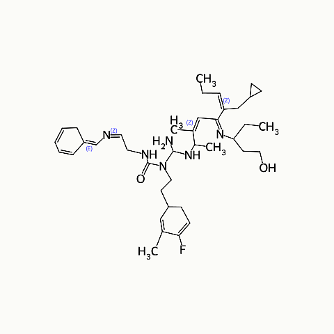 CC/C=C(/CC1CC1)C(/C=C(/C)C(C)NC(N)N(CCC1C=C(C)C(F)=CC1)C(=O)NC/C=N\C=C1\C=CC=CC1)=NC(CC)CCO